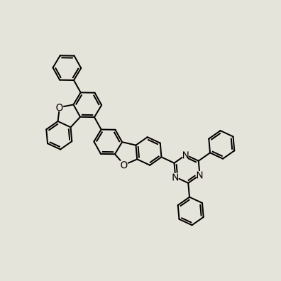 c1ccc(-c2nc(-c3ccccc3)nc(-c3ccc4c(c3)oc3ccc(-c5ccc(-c6ccccc6)c6oc7ccccc7c56)cc34)n2)cc1